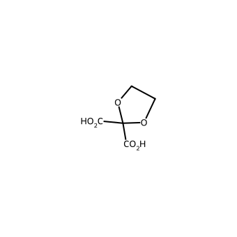 O=C(O)C1(C(=O)O)OCCO1